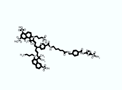 CCCC[N+]1=C(/C=C/C(=C/C=C2/N(CCCS(=O)(=O)O)c3ccc4c(S(=O)(=O)O)cc(S(=O)(=O)O)cc4c3C2(C)C)c2ccc(C(=O)NCCCCCC(=O)NCc3ccc(C(=O)Nc4nnc(S(N)(=O)=O)s4)cc3)cn2)C(C)(C)c2c1ccc1ccc(S(=O)(=O)O)cc21